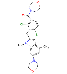 Cc1cc(N2CCOCC2)cc2c1cc(Cc1c(Cl)ccc(C(=O)N3CCOCC3)c1Cl)n2C